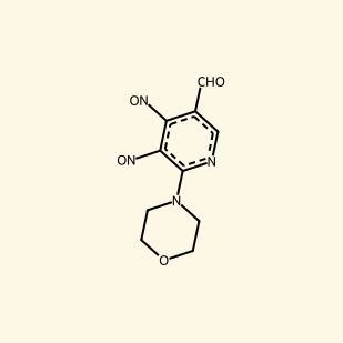 O=Cc1cnc(N2CCOCC2)c(N=O)c1N=O